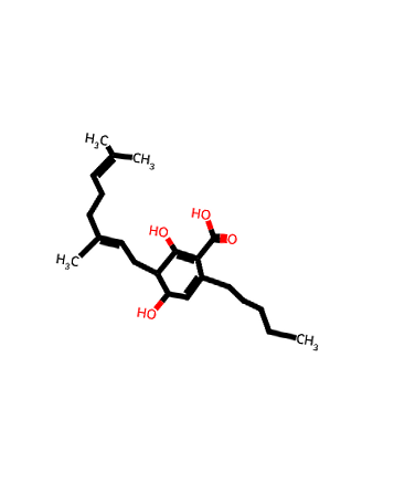 CCCCCC1=CC(O)C(C/C=C(\C)CCC=C(C)C)C(O)=C1C(=O)O